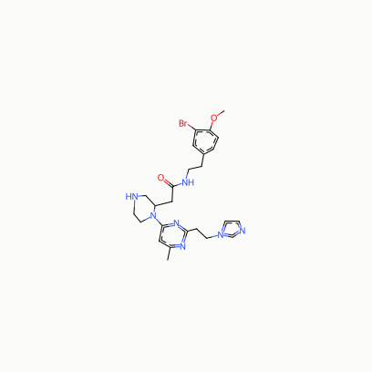 COc1ccc(CCNC(=O)CC2CNCCN2c2cc(C)nc(CCn3ccnc3)n2)cc1Br